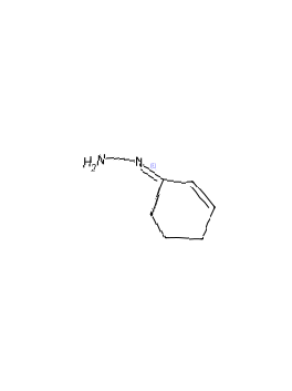 N/N=C1/C=CCCC1